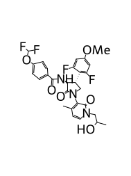 COc1cc(F)c([C@@H]2CN(c3c(C)ccn(CC(C)O)c3=O)C(=O)[C@H]2NC(=O)c2ccc(OC(F)F)cc2)c(F)c1